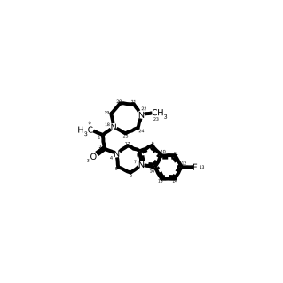 CC(C(=O)N1CCn2c(cc3cc(F)ccc32)C1)N1CCCN(C)CC1